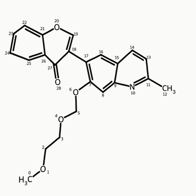 COCCOCOc1cc2nc(C)ccc2cc1-c1coc2ccccc2c1=O